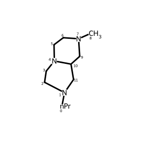 CCCN1CCN2CCN(C)CC2C1